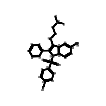 CN(C)CCOc1c(-c2ccccc2)n(S(=O)(=O)c2ccc(F)cc2)c2ccc(Br)cc12